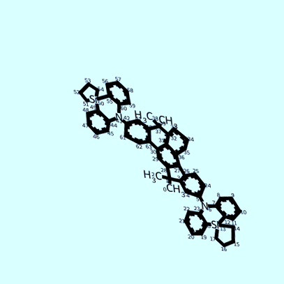 CC1(C)c2cc(N3c4ccccc4[Si]4(CCCC4)c4ccccc43)ccc2-c2c1cc1c3c(cccc23)C(C)(C)c2cc(N3c4ccccc4[Si]4(CCCC4)c4ccccc43)ccc2-1